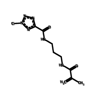 C=C(C)C(=O)NCCCNC(=O)c1nnn(Cl)n1